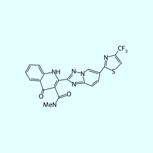 CNC(=O)c1c(-c2nc3ccc(-c4nc(C(F)(F)F)cs4)cn3n2)[nH]c2ccccc2c1=O